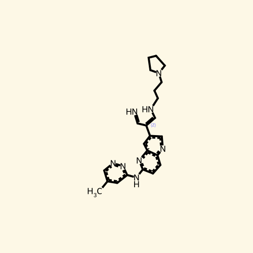 Cc1cnnc(Nc2ccc3ncc(/C(C=N)=C/NCCCN4CCCC4)cc3n2)c1